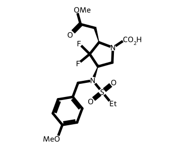 CCS(=O)(=O)N(Cc1ccc(OC)cc1)[C@@H]1CN(C(=O)O)[C@H](CC(=O)OC)C1(F)F